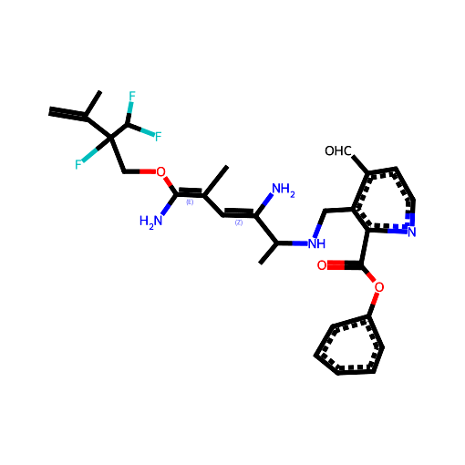 C=C(C)C(F)(CO/C(N)=C(C)/C=C(\N)C(C)NCc1c(C=O)ccnc1C(=O)Oc1ccccc1)C(F)F